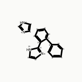 c1c[nH]cn1.c1ccc(-c2ccccc2-c2ncc[nH]2)cc1